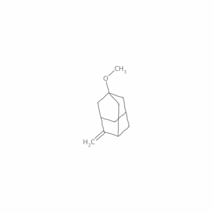 C=C1C2CC3CC1CC(OC)(C3)C2